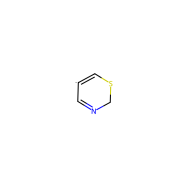 [C]1=CSCN=C1